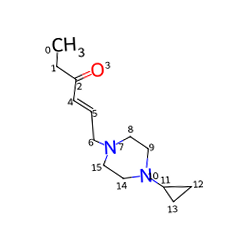 CCC(=O)/C=C/CN1CCN(C2CC2)CC1